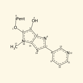 CCCC(C)Oc1c(O)c2nc(-c3cccnc3)sc2n1C